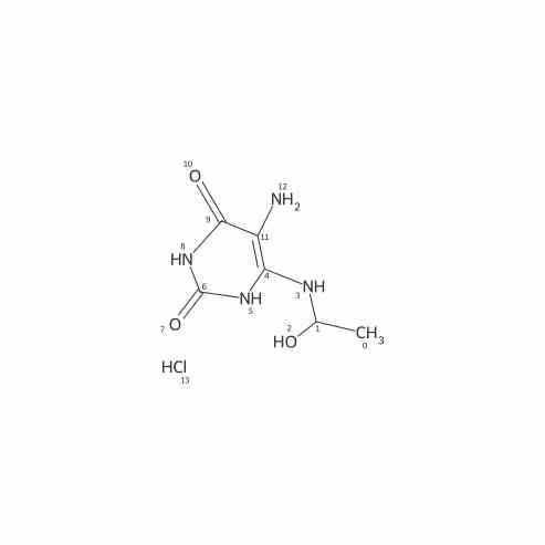 CC(O)Nc1[nH]c(=O)[nH]c(=O)c1N.Cl